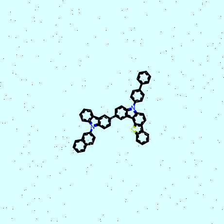 c1ccc(-c2ccc(-n3c4ccc(-c5ccc6c(c5)c5ccccc5n6-c5ccc6ccccc6c5)cc4c4c5sc6ccccc6c5ccc43)cc2)cc1